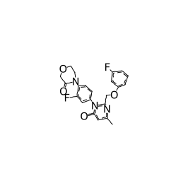 Cc1cc(=O)n(-c2ccc(N3CCOCC3=O)c(F)c2)c(COc2cccc(F)c2)n1